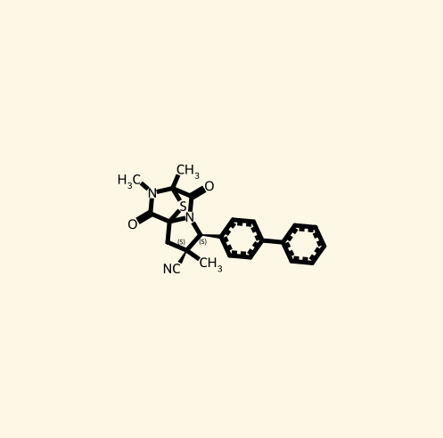 CN1C(=O)C23C[C@](C)(C#N)[C@H](c4ccc(-c5ccccc5)cc4)N2C(=O)C1(C)S3